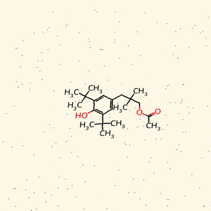 CC(=O)OCC(C)(C)Cc1cc(C(C)(C)C)c(O)c(C(C)(C)C)c1